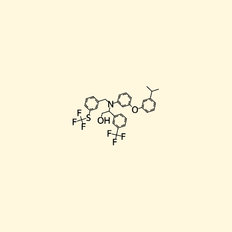 CC(C)c1cccc(Oc2cccc(N(Cc3cccc(SC(F)(F)F)c3)C(CO)c3cccc(C(F)(F)F)c3)c2)c1